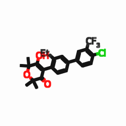 CCc1cc(-c2ccc(Cl)c(C(F)(F)F)c2)ccc1C1=C(O)C(C)(C)OC(C)(C)C1=O